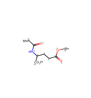 CNC(=O)NC(CCC(=O)OC(C)(C)C)C(=O)O